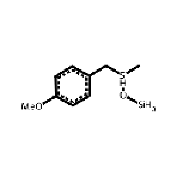 COc1ccc(C[SiH](C)O[SiH3])cc1